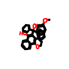 COc1ccc(C2=CCOc3c2c(C(O)(c2ccccc2)c2ccccc2)c(O)c2ccccc32)cc1